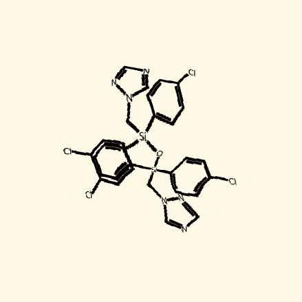 Clc1ccc([Si](Cn2cncn2)(O[Si](Cn2cncn2)(c2ccc(Cl)cc2)c2ccc(Cl)cc2)c2ccc(Cl)cc2)cc1